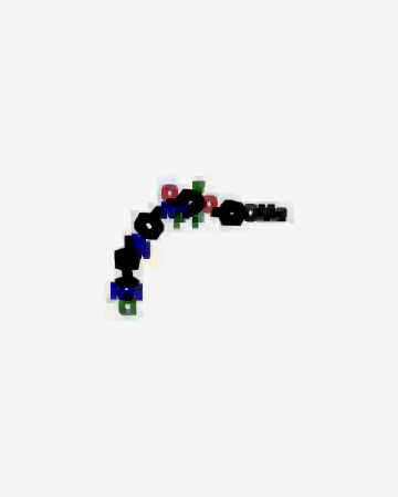 COc1ccc(COc2c(F)cc(C(=O)NCC3CCC(n4cc5ccc(-c6cnc(Cl)nc6)cc5n4)CC3)c(F)c2F)cc1